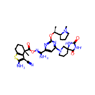 C[C@H](Oc1nc(/C(N)=N/OC(=O)C2(C)CCCc3sc(N)c(C#N)c32)cc(N2CCCC3(C2)NC(=O)NC3=O)n1)[C@@H]1CCCN1C